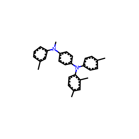 Cc1ccc(N(c2ccc(N(C)c3cccc(C)c3)cc2)c2ccc(C)cc2C)cc1